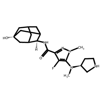 CN(c1c(F)c(C(=O)N[C@H]2C3CC4CC2C[C@](O)(C4)C3)nn1C)[C@H]1CCNC1